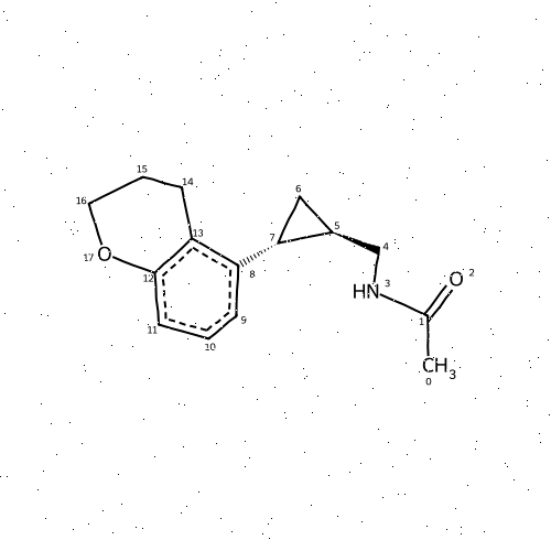 CC(=O)NC[C@@H]1C[C@H]1c1cccc2c1CCCO2